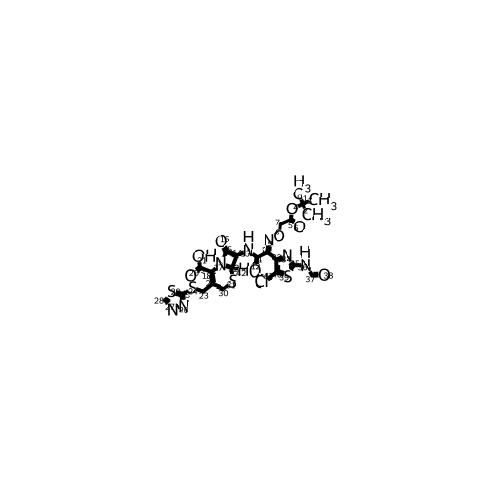 CC(C)(C)OC(=O)CON=C(C(=O)NC1C(=O)N2C(C(=O)O)=C(CSc3nncs3)CS[C@@H]12)c1nc(NC=O)sc1Cl